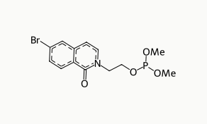 COP(OC)OCCn1ccc2cc(Br)ccc2c1=O